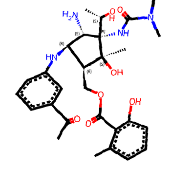 CC(=O)c1cccc(N[C@H]2[C@H](N)[C@@](NC(=O)N(C)C)([C@H](C)O)[C@@](C)(O)[C@H]2COC(=O)c2c(C)cccc2O)c1